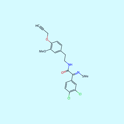 C#CCOc1ccc(CCNC(=O)C(=NSC)c2ccc(Cl)c(Cl)c2)cc1OC